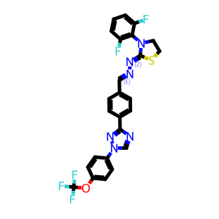 Fc1cccc(F)c1N1CCS/C1=N\N=C\c1ccc(-c2ncn(-c3ccc(OC(F)(F)F)cc3)n2)cc1